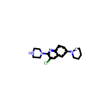 Clc1cc2cc(N3CCCCC3)ccc2nc1N1CCNCC1